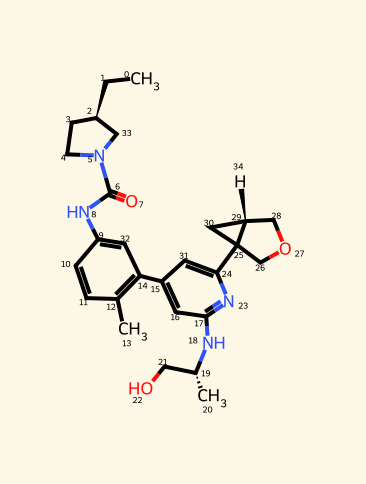 CC[C@@H]1CCN(C(=O)Nc2ccc(C)c(-c3cc(N[C@H](C)CO)nc(C45COC[C@H]4C5)c3)c2)C1